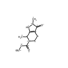 CC1c2[nH]n(C)c(=O)c2CCN1C(=O)OC(C)(C)C